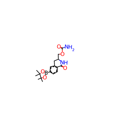 CC1(C)OB(c2ccc3c(c2)CC(COC(N)=O)NC3=O)OC1(C)C